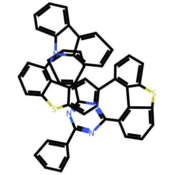 C1=CCCC(c2nc(-c3ccccc3)nc(-c3cccc4sc5cccc(-c6ccc7sc8cccc(-n9c%10ccccc%10c%10ccccc%109)c8c7c6)c5c34)n2)=C1